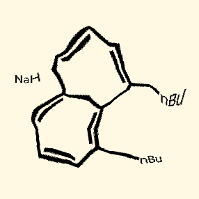 CCCCc1cccc2cccc(CCCC)c12.[NaH]